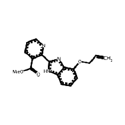 C=CCOc1cccc2[nH]c(-c3ncccc3C(=O)OC)nc12